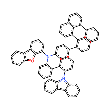 c1ccc(-c2cccc3cccc(-c4ccccc4-c4ccc(N(c5ccccc5-c5ccccc5-n5c6ccccc6c6ccccc65)c5cccc6c5oc5ccccc56)cc4)c23)cc1